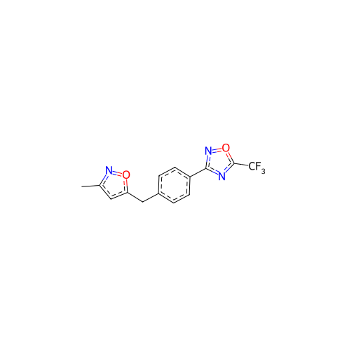 Cc1cc(Cc2ccc(-c3noc(C(F)(F)F)n3)cc2)on1